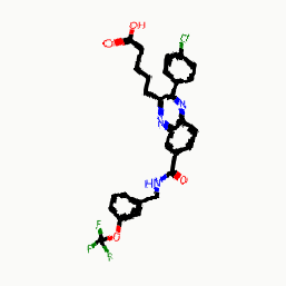 O=C(O)CCCCc1nc2cc(C(=O)NCc3cccc(OC(F)(F)F)c3)ccc2nc1-c1ccc(Cl)cc1